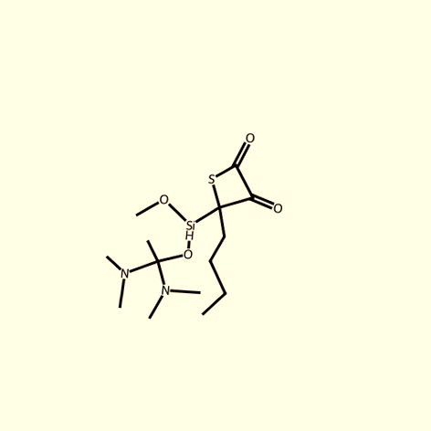 CCCCC1([SiH](OC)OC(C)(N(C)C)N(C)C)SC(=O)C1=O